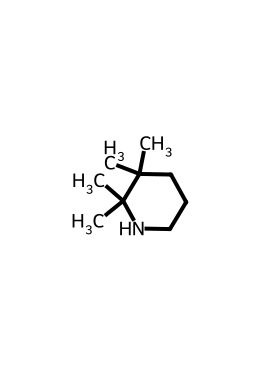 CC1(C)CCCNC1(C)C